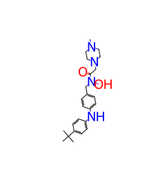 CN1CCN(CC(=O)N(O)Cc2ccc(Nc3ccc(C(C)(C)C)cc3)cc2)CC1